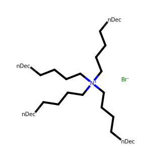 CCCCCCCCCCCCCC[N+](CCCCCCCCCCCCCC)(CCCCCCCCCCCCCC)CCCCCCCCCCCCCC.[Br-]